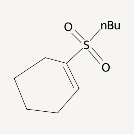 CCCCS(=O)(=O)C1=CCCCC1